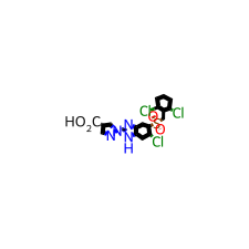 O=C(O)c1cnn(-c2nc3cc(S(=O)(=O)Cc4c(Cl)cccc4Cl)c(Cl)cc3[nH]2)c1